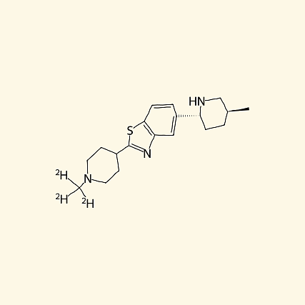 [2H]C([2H])([2H])N1CCC(c2nc3cc([C@H]4CC[C@H](C)CN4)ccc3s2)CC1